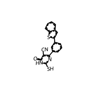 N#Cc1c(-c2cccc(-c3cc4ccccc4s3)c2)nc(S)[nH]c1=O